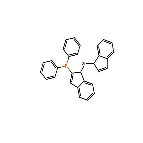 C1=C[CH]([Zr][CH]2C(P(c3ccccc3)c3ccccc3)=Cc3ccccc32)c2ccccc21